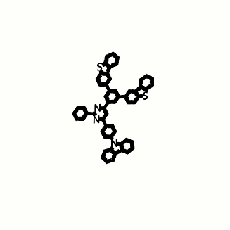 c1ccc(-c2nc(-c3ccc(-n4c5ccccc5c5ccccc54)cc3)cc(-c3cc(-c4ccc5sc6ccccc6c5c4)cc(-c4ccc5sc6ccccc6c5c4)c3)n2)cc1